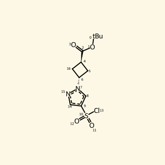 CC(C)(C)OC(=O)[C@H]1C[C@H](n2cc(S(=O)(=O)Cl)cn2)C1